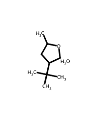 CC1CC(C(C)(C)C)CO1.O